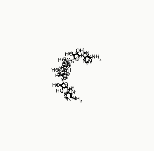 Nc1ncnc2c1ncn2[C@@H]1O[C@H](COP(=O)(O)OP(=O)(O)CP(=O)(O)OP(=O)(O)OC[C@H]2O[C@@H](n3cnc4c(N)ncnc43)[C@@H](O)C2O)C(O)C1O